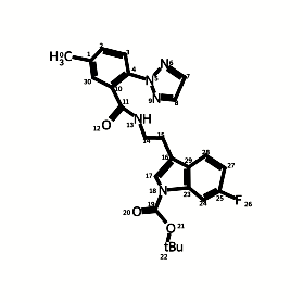 Cc1ccc(-n2nccn2)c(C(=O)NCCc2cn(C(=O)OC(C)(C)C)c3cc(F)ccc23)c1